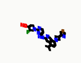 CC(C)c1ccc(N2CC(c3cscn3)C2)c2cnc(Nc3ccnc(N4CCC(O)C(F)C4)n3)cc12